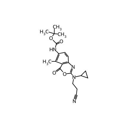 Cc1c(NC(=O)OC(C)(C)C)ccc2nc(N(CCC#N)C3CC3)oc(=O)c12